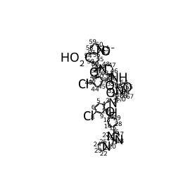 C[C@H](NCc1ccc(Cl)cc1Oc1ccc(-c2cnc(CN3CCCC3)n2C)cc1)C(=O)N1[C@H](C(=O)N[C@@]2(Cc3ccc(Cl)cc3)CCCN(C(=O)[C@@H](CC(=O)O)Cc3cccc[n+]3[O-])C2)COC1(C)C